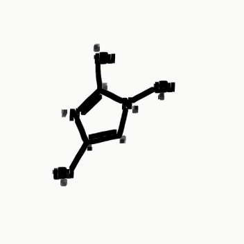 CC(C)(C)c1cn(C(C)(C)C)c(C(C)(C)C)n1